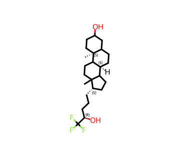 CC12CCC3[C@@H](CCC4CC(O)CC[C@@]43C)C1CC[C@@H]2CCC[C@@H](O)C(F)(F)F